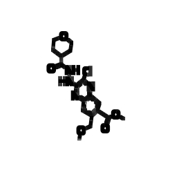 COCc1cc2nc(NNC(=O)C3CCOCC3)c(Cl)nc2cc1C(=O)OC